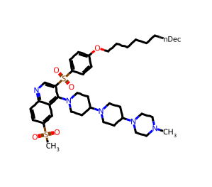 CCCCCCCCCCCCCCCCOc1ccc(S(=O)(=O)c2cnc3ccc(S(C)(=O)=O)cc3c2N2CCC(N3CCC(N4CCN(C)CC4)CC3)CC2)cc1